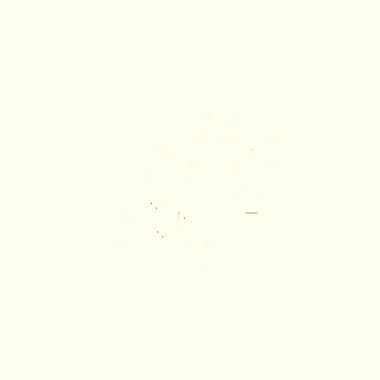 c1ccc(-c2nc(-c3ccccc3)nc(-c3ccc(-c4cccc5oc6c7cccc8c7c(cc6c45)-c4ccccc4-8)c4ccccc34)n2)cc1